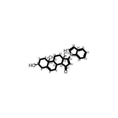 C[C@]12CC[C@H](O)CC1=CCC1C2CC[C@]2(C)C(n3ccc4ccccc43)=CC(=O)C12